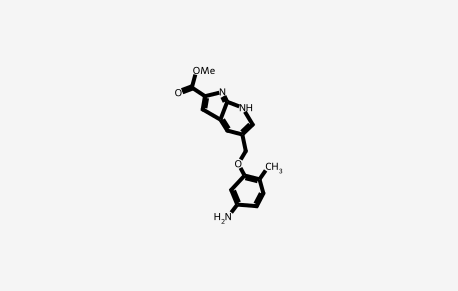 COC(=O)c1cc2cc(COc3cc(N)ccc3C)c[nH]c-2n1